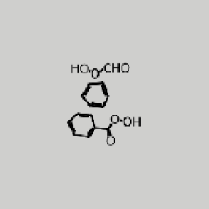 O=C(OO)c1ccccc1.O=COO.c1ccccc1